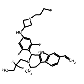 C=Cc1ccc2c3c([nH]c2c1)[C@H](c1c(F)cc(NC2CN(CCCF)C2)cc1F)N(CC(F)(F)CO)[C@@H](C)C3